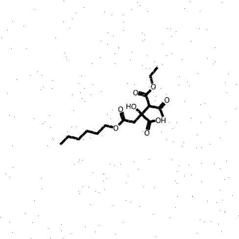 CCCCCCOC(=O)CC(O)(C(=O)O)C(C(C)=O)C(=O)OCC